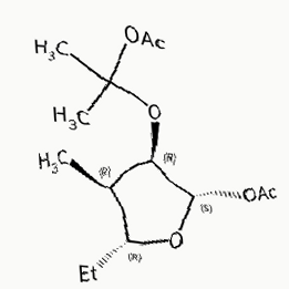 CC[C@H]1O[C@@H](OC(C)=O)[C@H](OC(C)(C)OC(C)=O)[C@@H]1C